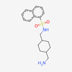 NCC1CCC(CNS(=O)(=O)c2cccc3ccccc23)CC1